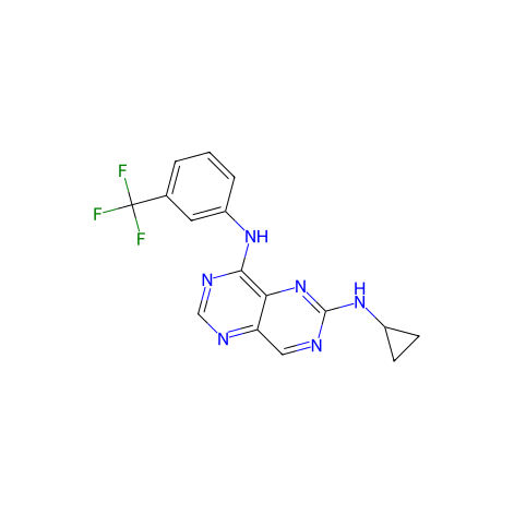 FC(F)(F)c1cccc(Nc2ncnc3cnc(NC4CC4)nc23)c1